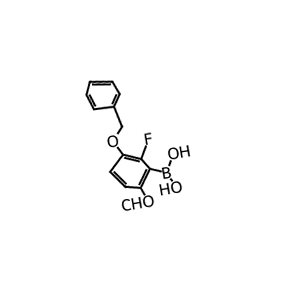 O=Cc1ccc(OCc2ccccc2)c(F)c1B(O)O